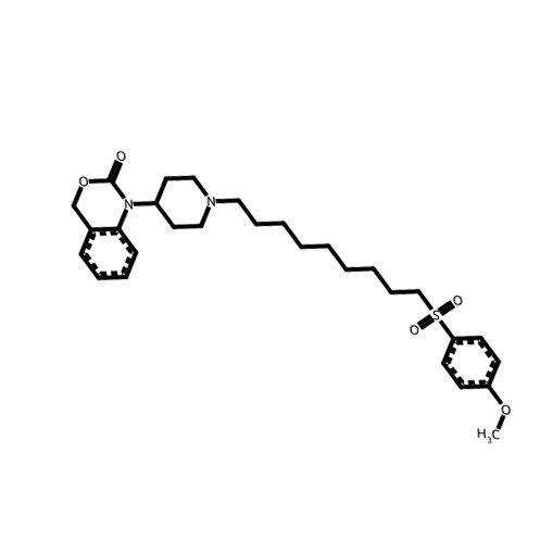 COc1ccc(S(=O)(=O)CCCCCCCCCN2CCC(N3C(=O)OCc4ccccc43)CC2)cc1